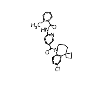 Cc1ccccc1C(=O)Nc1ccc(C(=O)N2CCCC3(CCC3)c3cc(Cl)ccc32)cn1